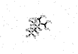 CC(C)N(C(C)C)[Si](Br)([Si](Br)(Br)Br)[Si](Br)(Br)[Si](Br)(Br)Br